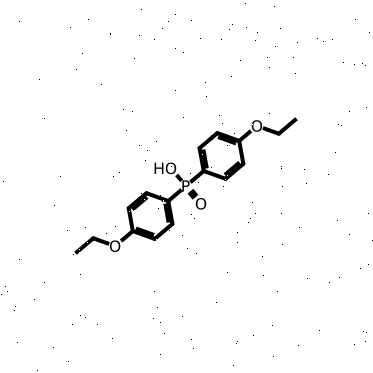 CCOc1ccc(P(=O)(O)c2ccc(OCC)cc2)cc1